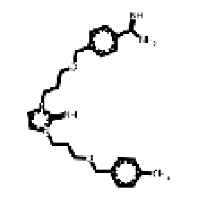 Cc1ccc(COCCCn2ccn(CCCOCc3ccc(C(=N)N)cc3)c2=N)cc1